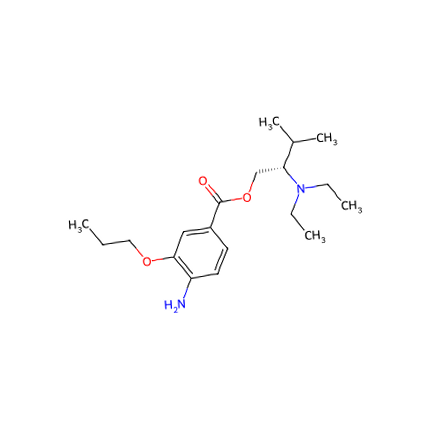 CCCOc1cc(C(=O)OC[C@H](C(C)C)N(CC)CC)ccc1N